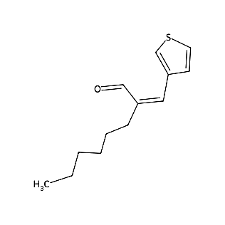 CCCCCCC(C=O)=Cc1ccsc1